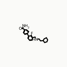 NC(=O)c1ccc(-c2cccc(CNCCC3CCCCC3)c2F)cc1